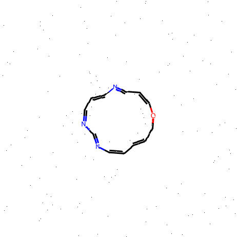 C1=C\N=C\N=C/C=C/N=C/C=C\OC/C=C/1